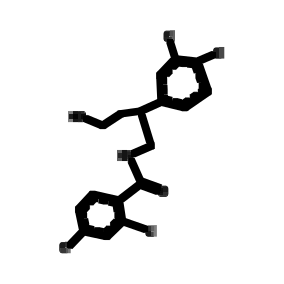 O=C(NCC(CCO)c1ccc(Cl)c(Cl)c1)c1ccc(Cl)cc1Cl